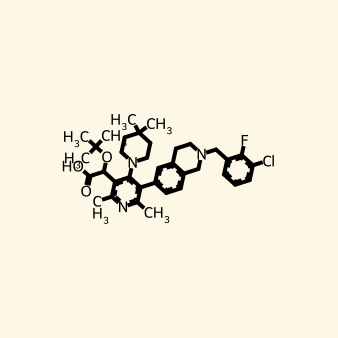 Cc1nc(C)c(C(OC(C)(C)C)C(=O)O)c(N2CCC(C)(C)CC2)c1-c1ccc2c(c1)CCN(Cc1cccc(Cl)c1F)C2